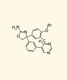 Cc1cc(C2(c3cccc(-c4cncnc4)c3)COC(N)=N2)ccc1OC(C)C